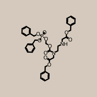 O=C(CNCCN(CC(=O)OCc1ccccc1)C(=O)OCOP(=O)(OCc1ccccc1)OCc1ccccc1)OCc1ccccc1